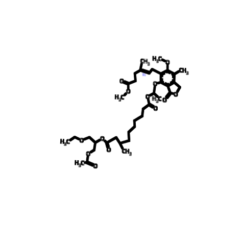 CCOCC(COC(C)=O)OC(=O)CC(C)CCCCCCC(=O)OC(C)Oc1c(C/C=C(\C)CCC(=O)OC)c(OC)c(C)c2c1C(=O)OC2